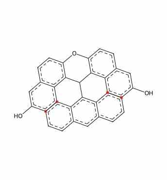 Oc1ccc2c3c(ccc2c1)Oc1ccc2cc(O)ccc2c1C3c1c2ccccc2cc2ccccc12